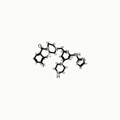 O=C(c1cccc(F)c1F)N1CCN(Cc2cc(N3CCNCC3)cc(Nc3nccs3)n2)CC1